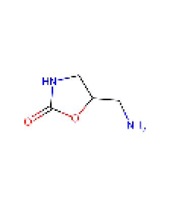 NCC1CNC(=O)O1